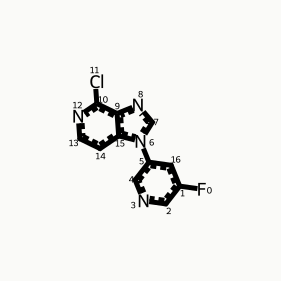 Fc1cncc(-n2cnc3c(Cl)nccc32)c1